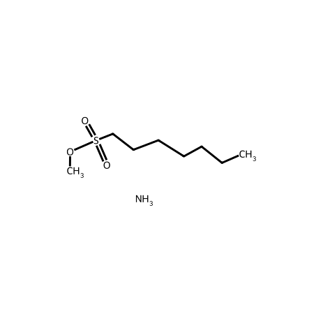 CCCCCCCS(=O)(=O)OC.N